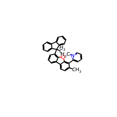 Cc1ccc2c(oc3c(C4(C)c5ccccc5-c5ccccc54)cccc32)c1-c1cccc[n+]1C